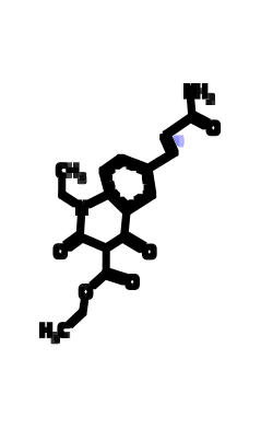 CCOC(=O)C1C(=O)c2cc(/C=C/C(N)=O)ccc2N(CC)C1=O